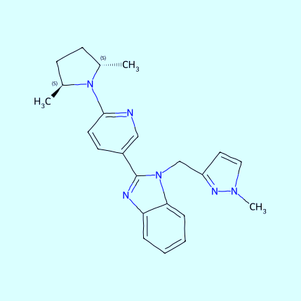 C[C@H]1CC[C@H](C)N1c1ccc(-c2nc3ccccc3n2Cc2ccn(C)n2)cn1